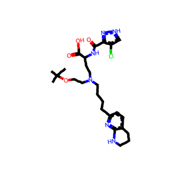 CC(C)(C)OCCN(CCCCc1ccc2c(n1)NCCC2)CCC(NC(=O)c1n[nH]cc1Cl)C(=O)O